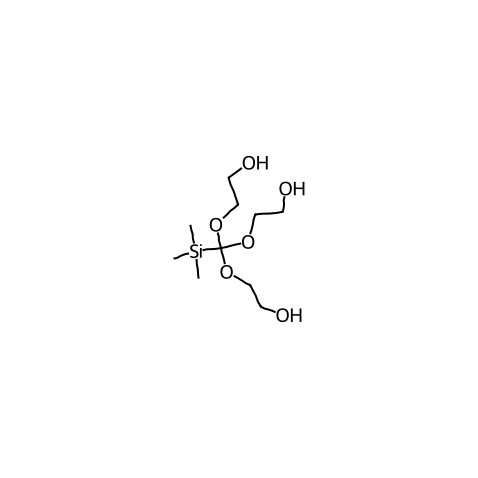 C[Si](C)(C)C(OCCO)(OCCO)OCCO